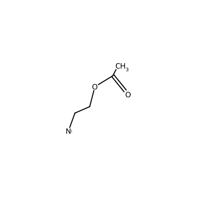 CC(=O)OCC[N]